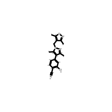 Cc1noc(C)c1Cn1nc(C)c(-c2ccc(C#N)c(Cl)c2)c1C